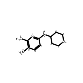 Cc1nc(NC2CCOCC2)ccc1N